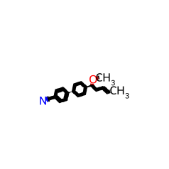 C/C=C/CC(OC)[C@H]1CC[C@H](c2ccc(C#N)cc2)CC1